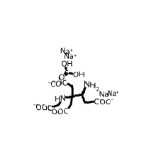 NC(CC(=O)[O-])C(CC(=O)[O-])(CC(=O)[O-])NCC(=O)[O-].O=S(O)O.[Na+].[Na+].[Na+].[Na+]